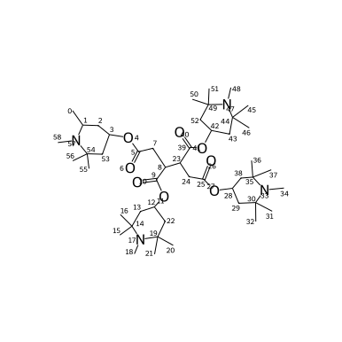 CC1CC(OC(=O)CC(C(=O)OC2CC(C)(C)N(C)C(C)(C)C2)C(CC(=O)OC2CC(C)(C)N(C)C(C)(C)C2)C(=O)OC2CC(C)(C)N(C)C(C)(C)C2)CC(C)(C)N1C